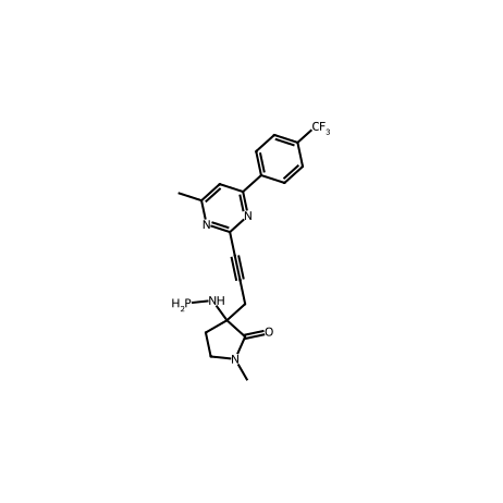 Cc1cc(-c2ccc(C(F)(F)F)cc2)nc(C#CCC2(NP)CCN(C)C2=O)n1